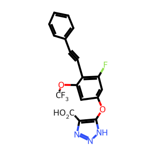 O=C(O)c1nn[nH]c1Oc1cc(F)c(C#Cc2ccccc2)c(OC(F)(F)F)c1